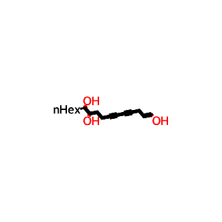 CCCCCC[C@@H](O)C(O)CCC#CC#CCC=CO